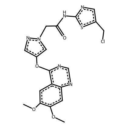 COc1cc2ncnc(Oc3cnn(CC(=O)Nc4ncc(CCl)s4)c3)c2cc1OC